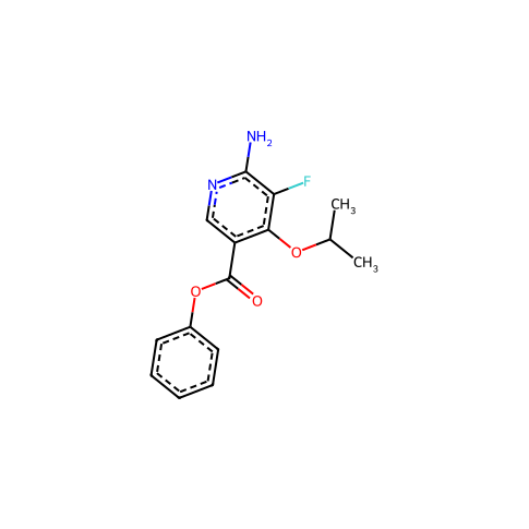 CC(C)Oc1c(C(=O)Oc2ccccc2)cnc(N)c1F